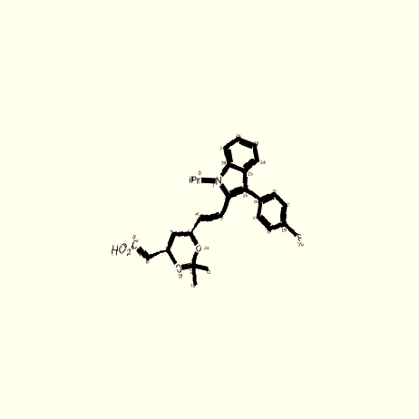 CC(C)n1c(C=C[C@@H]2C[C@H](CC(=O)O)OC(C)(C)O2)c(-c2ccc(F)cc2)c2ccccc21